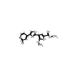 COC(=O)c1cc(-c2nc(-c3ccnc(Cl)c3)cs2)c(SC)s1